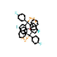 Fc1ccc(C(P)(c2ccc(F)cc2)c2ccc3ccccc3c2-c2c(C(P)(c3ccc(F)cc3)c3ccc(F)cc3)ccc3ccccc23)cc1